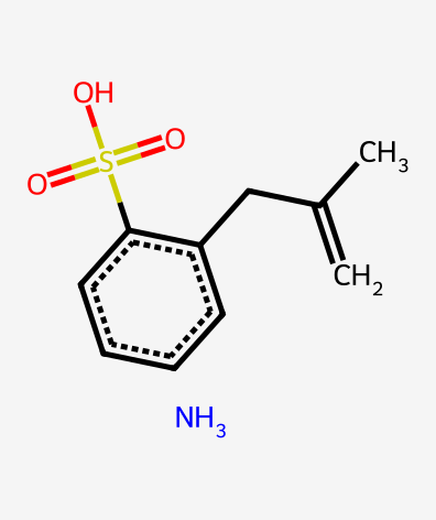 C=C(C)Cc1ccccc1S(=O)(=O)O.N